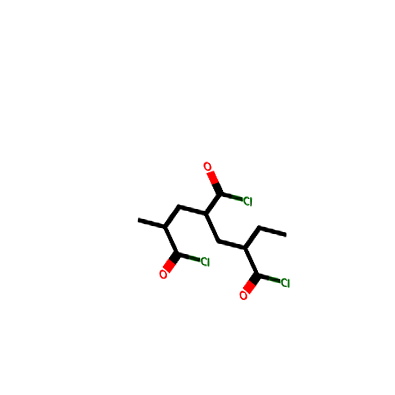 CCC(CC(CC(C)C(=O)Cl)C(=O)Cl)C(=O)Cl